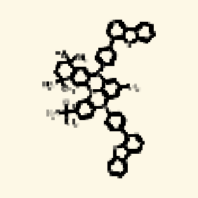 Cc1cc2c3c(c1)N(c1ccc(-c4cccc5c4sc4ccccc45)cc1)c1cc4c(cc1B3c1cc(C(C)(C)C)ccc1N2c1ccc(-c2cccc3c2sc2ccccc23)cc1)C(C)(C)CCC4(C)C